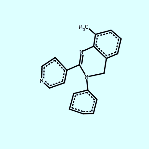 Cc1cccc2c1N=C(c1ccncc1)N(c1ccccc1)C2